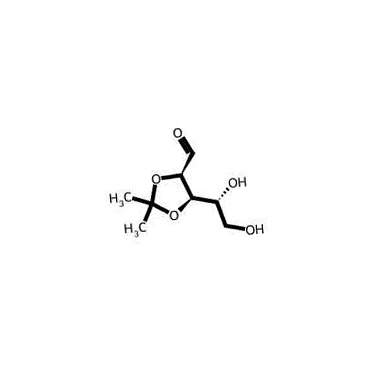 CC1(C)O[C@H]([C@H](O)CO)[C@H](C=O)O1